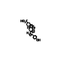 C[C@@]12CC[C@H]3[C@H](CC=C4C=C(C(=O)O)CC[C@]43C)[C@@H]1CC[C@@H]2C(=O)c1ccc(O)cc1